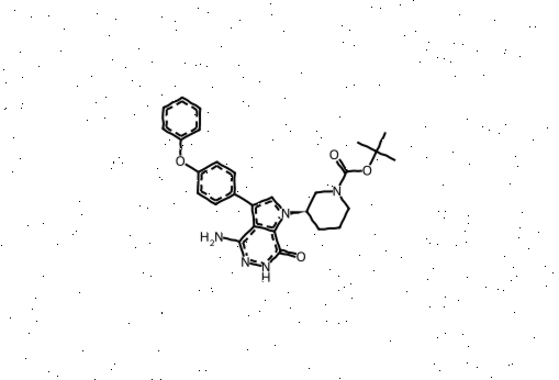 CC(C)(C)OC(=O)N1CCC[C@@H](n2cc(-c3ccc(Oc4ccccc4)cc3)c3c(N)n[nH]c(=O)c32)C1